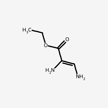 CCOC(=O)/C(N)=C/N